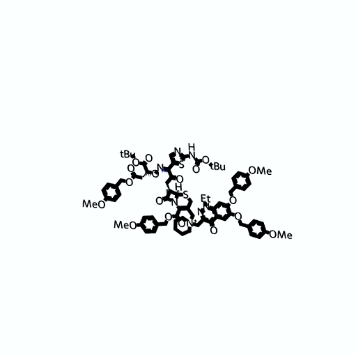 CCn1nc(C[N+]2(CC3=C(C(=O)OCc4ccc(OC)cc4)N4C(=O)[C@@H](CC(=O)/C(=N\O[C@H](CC(=O)OCc5ccc(OC)cc5)C(=O)OC(C)(C)C)c5cnc(NC(=O)OC(C)(C)C)s5)[C@H]4SC3)CCCCC2)c(=O)c2cc(OCc3ccc(OC)cc3)c(OCc3ccc(OC)cc3)cc21